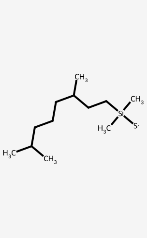 CC(C)CCCC(C)CC[Si](C)(C)[S]